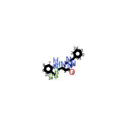 O=c1cc(CNc2ccccc2C(F)(F)F)[nH]c2nc(-c3ccccc3)nn12